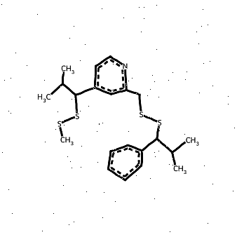 CSSC(c1ccnc(CSSC(c2ccccc2)C(C)C)c1)C(C)C